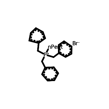 CCCCC[P+](Cc1ccccc1)(Cc1ccccc1)Cc1ccccc1.[Br-]